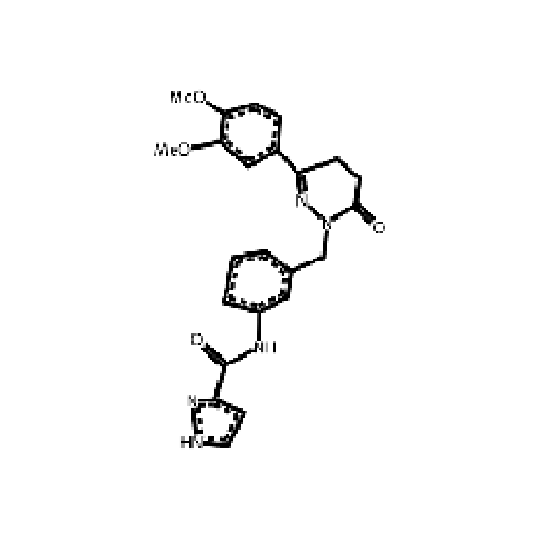 COc1ccc(C2=NN(Cc3cccc(NC(=O)c4cc[nH]n4)c3)C(=O)CC2)cc1OC